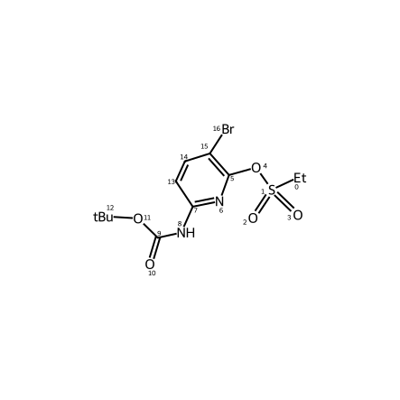 CCS(=O)(=O)Oc1nc(NC(=O)OC(C)(C)C)ccc1Br